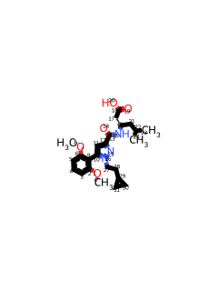 COc1cccc(OC)c1-c1cc(C(=O)N[C@H](CC(=O)O)CC(C)C)nn1CCC1CC1